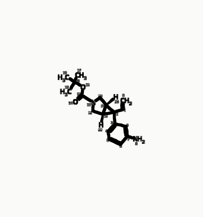 C=CC1(c2cccc(N)c2)[C@@H]2CN(C(=O)OC(C)(C)C)C[C@@H]21